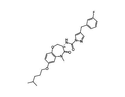 CC(C)CCCOc1ccc2c(c1)N(C)C(=O)[C@@H](NC(=O)n1cc(Cc3cccc(F)c3)cn1)CO2